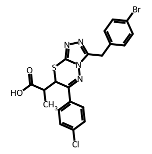 CC(C(=O)O)C1Sc2nnc(Cc3ccc(Br)cc3)n2N=C1c1ccc(Cl)cc1